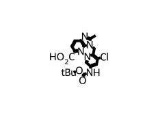 Cc1nc2ccc(C(=O)O)nc2n1Cc1ncc(NC(=O)OC(C)(C)C)cc1Cl